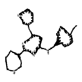 Cc1ccc(Nc2cc(-c3cccnc3)nc(C3CCCNC3)n2)cc1